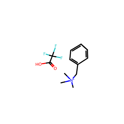 C[N+](C)(C)Cc1ccccc1.O=C(O)C(F)(F)F